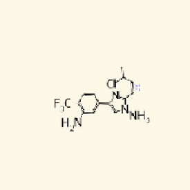 C=C(Cl)/C=C\c1nc(-c2ccc(C(F)(F)F)c(N)c2)cn1N